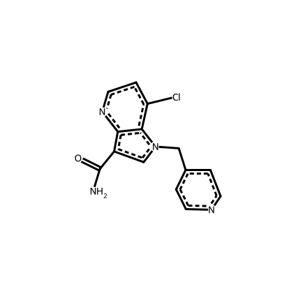 NC(=O)c1cn(Cc2ccncc2)c2c(Cl)ccnc12